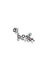 CCN([S+]([O-])C(C)(C)C)C1(C#Cc2ccc3c(c2)CCn2c-3cc(OCC3COc4ncccc4O3)nc2=O)COC1